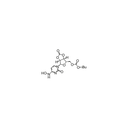 CC[C@H](C)OC(=O)OC[C@H]1O[C@@H](n2ccc(NO)nc2=O)[C@@H]2OC(=O)O[C@@H]21